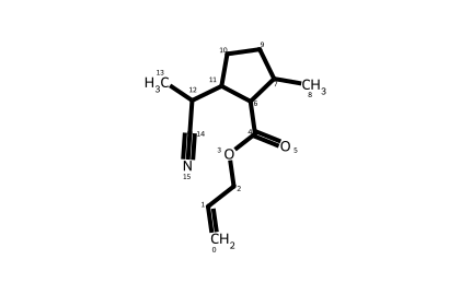 C=CCOC(=O)C1C(C)CCC1C(C)C#N